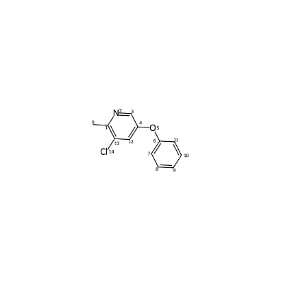 Cc1ncc(Oc2ccccc2)cc1Cl